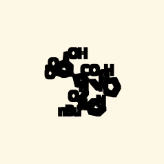 CCCCN(C(=O)CN1C[C@H](c2cc(CO)c3c(c2)OCO3)[C@@H](C(=O)O)[C@@H]1CCN1CCCCC1=O)c1cccnc1